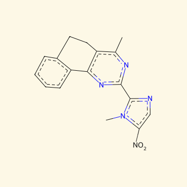 Cc1nc(-c2ncc([N+](=O)[O-])n2C)nc2c1CCc1ccccc1-2